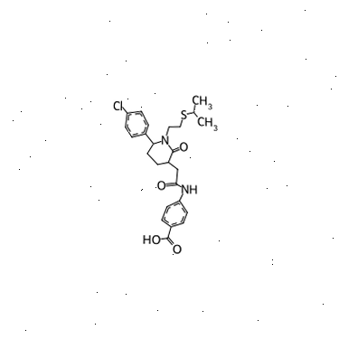 CC(C)SCCN1C(=O)C(CC(=O)Nc2ccc(C(=O)O)cc2)CCC1c1ccc(Cl)cc1